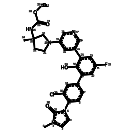 Cn1ccn(-c2ccc(-c3cc(F)cc(-c4cncc(N5CC[C@](C)(NC(=O)OC(C)(C)C)C5)c4)c3O)cc2Cl)c1=O